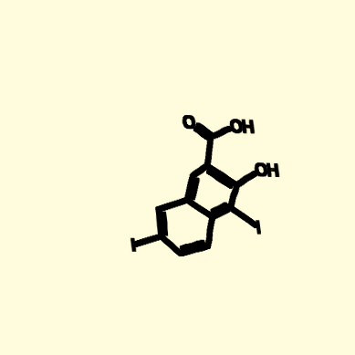 O=C(O)c1cc2cc(I)ccc2c(I)c1O